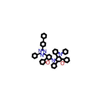 c1ccc(-c2ccc(-c3nc(-c4ccccc4)nc(-c4ccc(-n5c6ccccc6c6c7oc8ccccc8c7c7c(c8ccccc8n7-c7ccccc7)c65)c5oc6ccccc6c45)n3)cc2)cc1